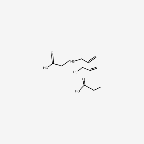 C=CCS.C=CCS.CCC(=O)O.CCC(=O)O